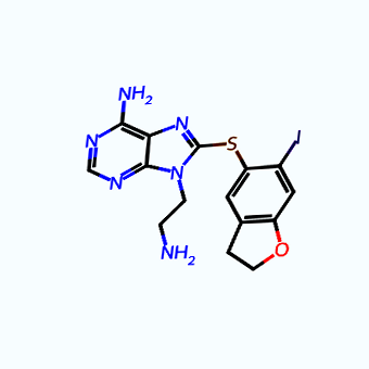 NCCn1c(Sc2cc3c(cc2I)OCC3)nc2c(N)ncnc21